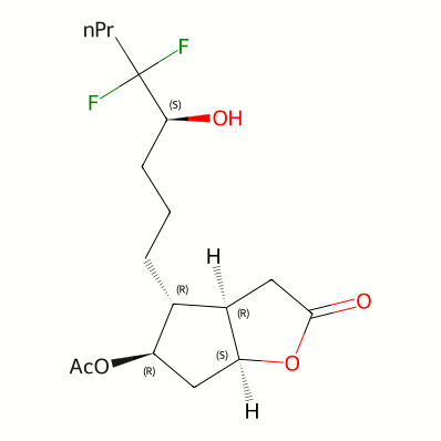 CCCC(F)(F)[C@@H](O)CCC[C@@H]1[C@H]2CC(=O)O[C@H]2C[C@H]1OC(C)=O